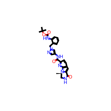 C[C@@H]1CNC(=O)c2cc3ccc(C(=O)Nc4cnn(Cc5ccccc5NC(=O)OC(C)(C)C)c4)nc3n21